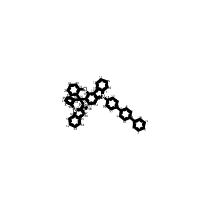 c1ccc(-c2ccc(-c3ccc(-n4c5ccccc5c5c6c(ccc54)C4(c5ccccc5O6)c5ccccc5-n5c6ccccc6c6cccc4c65)cc3)cc2)cc1